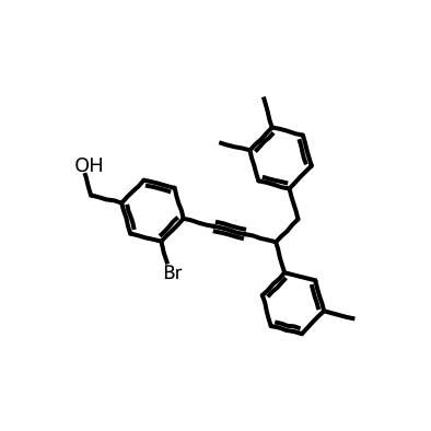 Cc1cccc(C(C#Cc2ccc(CO)cc2Br)Cc2ccc(C)c(C)c2)c1